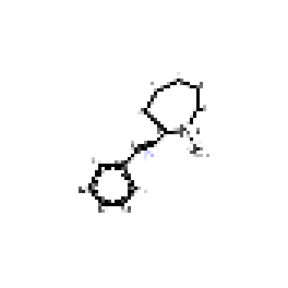 CCN1CCCCCC1/C=C/c1ccccc1